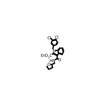 CCOC(=O)c1c(C(=O)NCC2CCCO2)c2ccccc2n1Cc1ccc(Cl)c(Cl)c1